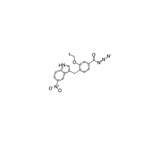 [N-]=[N+]=NC(=O)c1ccc(Cc2c[nH]c3ccc([N+](=O)[O-])cc23)c(OCI)c1